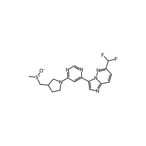 C[S+]([O-])CC1CCN(c2cc(-c3cnc4ccc(C(F)F)nn34)ncn2)C1